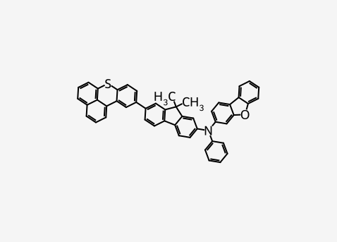 CC1(C)c2cc(-c3ccc4c(c3)-c3cccc5cccc(c35)S4)ccc2-c2ccc(N(c3ccccc3)c3ccc4c(c3)oc3ccccc34)cc21